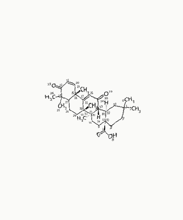 CC1(C)CC[C@]2(C(=O)O)CC[C@]3(C)[C@H](C(=O)C=C4[C@@]5(C)C=CC(=O)C(C)(C)C5CC[C@]43C)[C@H]2C1